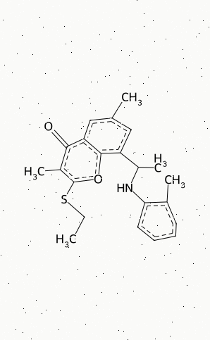 CCSc1oc2c(C(C)Nc3ccccc3C)cc(C)cc2c(=O)c1C